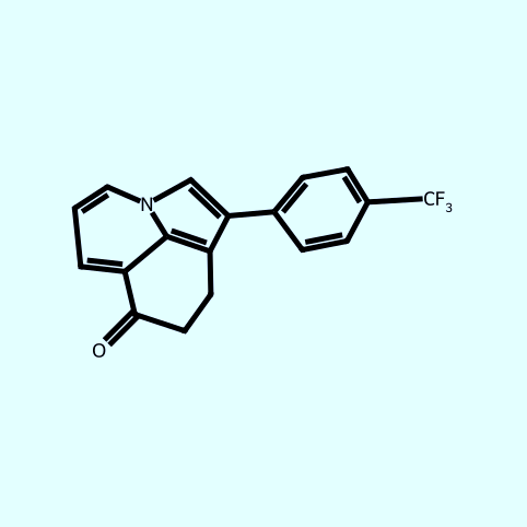 O=C1CCc2c(-c3ccc(C(F)(F)F)cc3)cn3cccc1c23